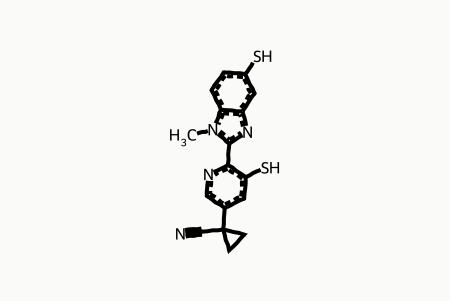 Cn1c(-c2ncc(C3(C#N)CC3)cc2S)nc2cc(S)ccc21